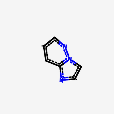 [c]1cnn2c[c]nc2c1